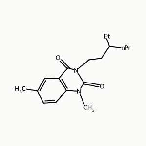 CCCC(CC)CCn1c(=O)c2cc(C)ccc2n(C)c1=O